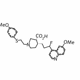 COc1ccc(SCCN2CC[C@@H](CC[C@@H](F)c3ccnc4ccc(OC)cc34)[C@@H](C(=O)O)C2)cc1